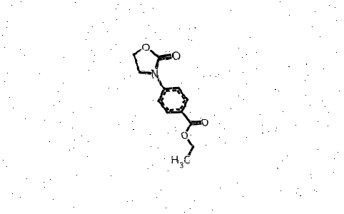 CCOC(=O)c1ccc(N2CCOC2=O)cc1